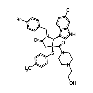 Cc1ccc(S[C@@]2(C(=O)N3CCN(CCO)CC3)CC(=O)N(Cc3ccc(Br)cc3)[C@H]2c2c[nH]c3cc(Cl)ccc23)cc1